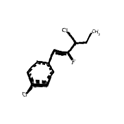 CCC(Cl)C(F)=Cc1ccc(Cl)cc1